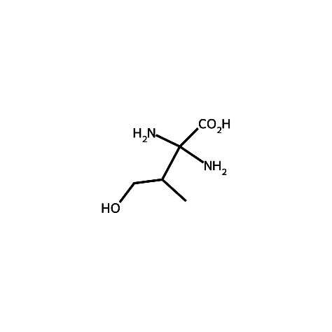 CC(CO)C(N)(N)C(=O)O